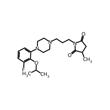 CC(C)Oc1c(F)cccc1N1CCN(CCCN2C(=O)CC(C)C2=O)CC1